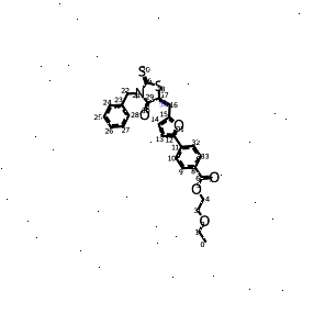 CCOCCOC(=O)c1ccc(-c2ccc(/C=C3/SC(=S)N(Cc4ccccc4)C3=O)o2)cc1